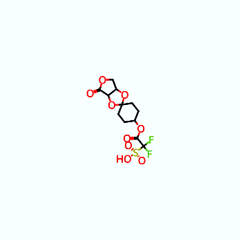 O=C1OCC2OC3(CCC(OC(=O)C(F)(F)S(=O)(=O)O)CC3)OC12